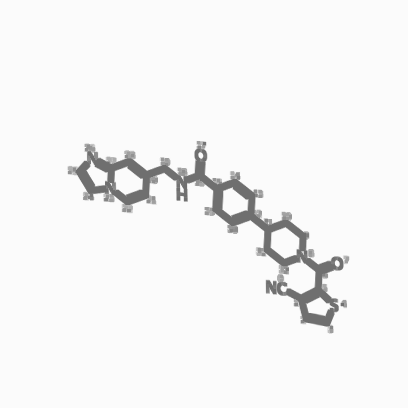 N#Cc1ccsc1C(=O)N1CCC(c2ccc(C(=O)NCc3ccn4ccnc4c3)cc2)CC1